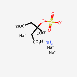 N.O=C([O-])CC(CC(=O)O)(OS(=O)(=O)[O-])C(=O)[O-].[Na+].[Na+].[Na+]